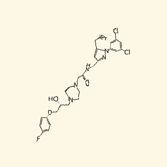 CC(C)Cc1cc(CNC(=O)CN2CCN(C[C@@H](O)COc3ccc(F)cc3)CC2)nn1-c1cc(Cl)cc(Cl)c1